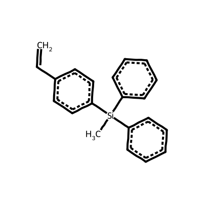 C=Cc1ccc([Si](C)(c2ccccc2)c2ccccc2)cc1